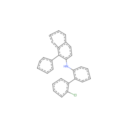 Clc1ccccc1-c1ccccc1Nc1ccc2ccccc2c1-c1ccccc1